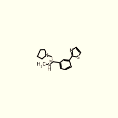 CN[C@H](CN1CCCC1)c1cccc(-c2nccs2)c1